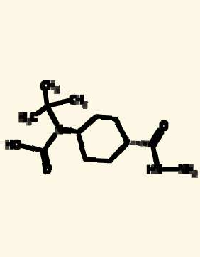 CC(C)(C)N(C(=O)O)[C@H]1CC[C@H](C(=O)NN)CC1